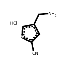 Cl.N#Cc1cc(CN)cs1